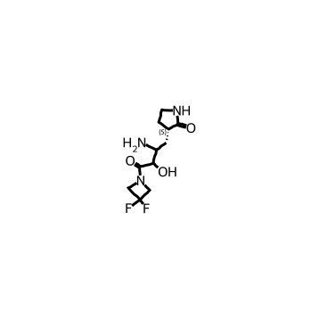 NC(C[C@@H]1CCNC1=O)C(O)C(=O)N1CC(F)(F)C1